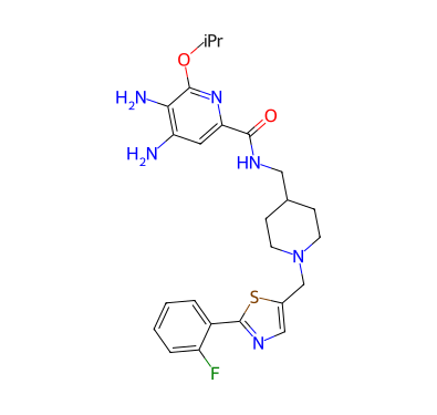 CC(C)Oc1nc(C(=O)NCC2CCN(Cc3cnc(-c4ccccc4F)s3)CC2)cc(N)c1N